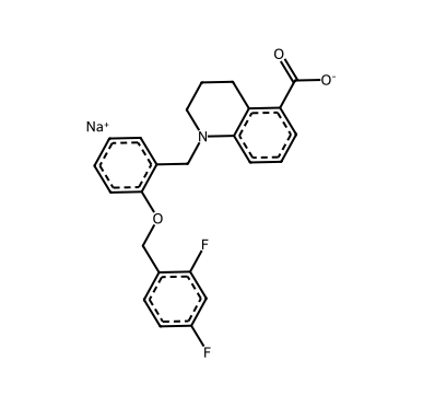 O=C([O-])c1cccc2c1CCCN2Cc1ccccc1OCc1ccc(F)cc1F.[Na+]